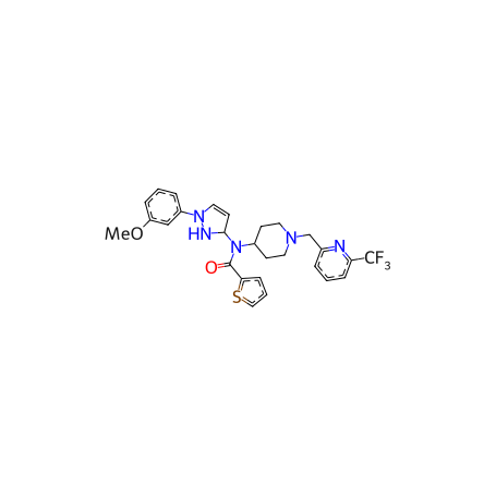 COc1cccc(N2C=CC(N(C(=O)c3cccs3)C3CCN(Cc4cccc(C(F)(F)F)n4)CC3)N2)c1